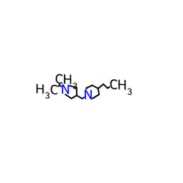 CCCC1CCN(CC2CCN(C(C)C)CC2)CC1